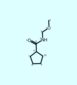 COCNC(=O)C1CCCC1